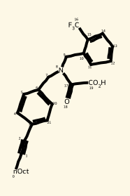 CCCCCCCCC#Cc1ccc(CN(Cc2ccccc2C(F)(F)F)C(=O)C(=O)O)cc1